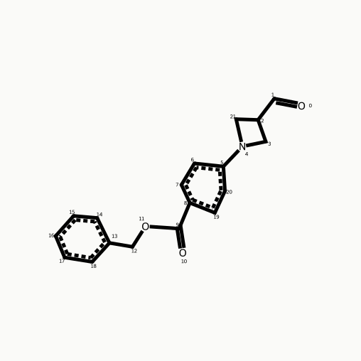 O=CC1CN(c2ccc(C(=O)OCc3ccccc3)cc2)C1